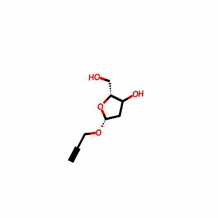 C#CCO[C@H]1CC(O)[C@@H](CO)O1